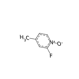 Cc1cc[n+]([O-])c(F)c1